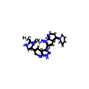 Cc1ncc(-c2cnc3[nH]nc(-c4cc5c(N6CCCCC6)ccnc5[nH]4)c3c2)n1C